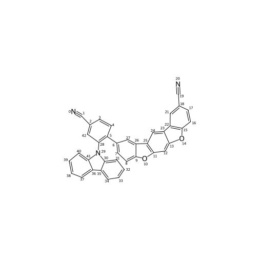 N#Cc1ccc(-c2ccc3oc4cc5oc6ccc(C#N)cc6c5cc4c3c2)c(-n2c3ccccc3c3ccccc32)c1